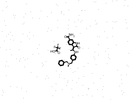 C/C(Nc1ccc(CN(C)Cc2ccccc2)cc1)=C1/C(=O)Nc2cc(C(N)=O)ccc21.O=C(O)C(F)(F)F